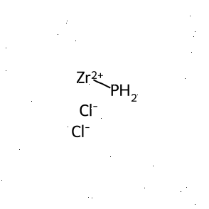 [Cl-].[Cl-].[PH2][Zr+2]